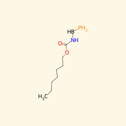 CCCCCCCOC(=O)NBP